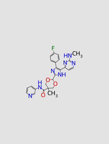 CNc1nccc(-c2[nH]c(C3OCC(C)(C(=O)Nc4cccnc4)CO3)nc2-c2ccc(F)cc2)n1